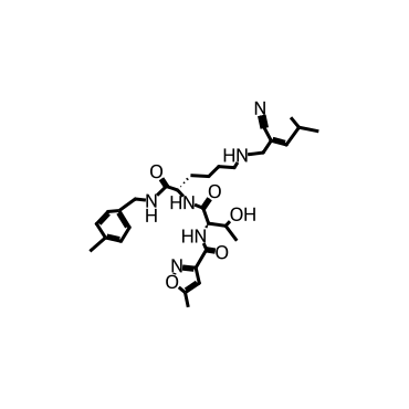 Cc1ccc(CNC(=O)[C@H](CCCCNCC(C#N)=CC(C)C)NC(=O)[C@@H](NC(=O)c2cc(C)on2)C(C)O)cc1